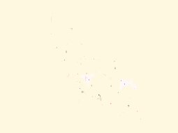 NC(CC=O)(C(=O)O)C1c2cc(F)ccc2N(C(=O)c2cccc(OC(F)(F)F)c2)[C@@H]2CC[C@H]12